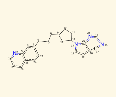 c1cnc2cc(CCCC3CCC(n4ccc5cncnc54)C3)ccc2c1